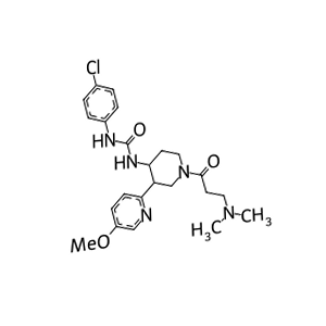 COc1ccc(C2CN(C(=O)CCN(C)C)CCC2NC(=O)Nc2ccc(Cl)cc2)nc1